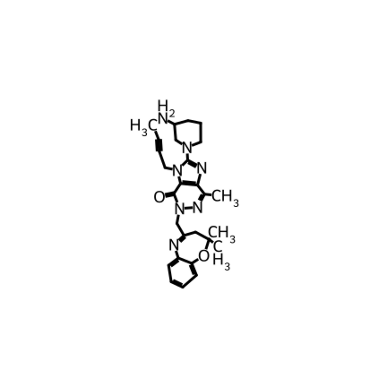 CC#CCn1c(N2CCCC(N)C2)nc2c(C)nn(CC3=Nc4ccccc4OC(C)(C)C3)c(=O)c21